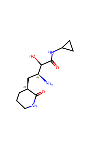 N[C@@H](C[C@@H]1CCCNC1=O)C(O)C(=O)NC1CC1